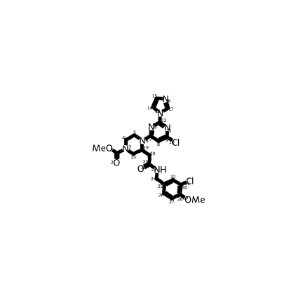 COC(=O)N1CCN(c2cc(Cl)nc(-n3ccnc3)n2)C(CC(=O)NCc2ccc(OC)c(Cl)c2)C1